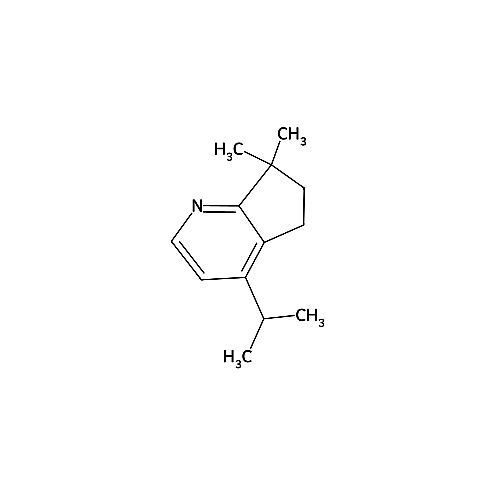 CC(C)c1ccnc2c1CCC2(C)C